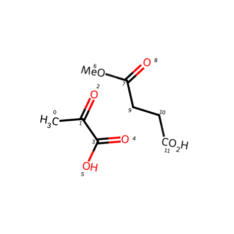 CC(=O)C(=O)O.COC(=O)CCC(=O)O